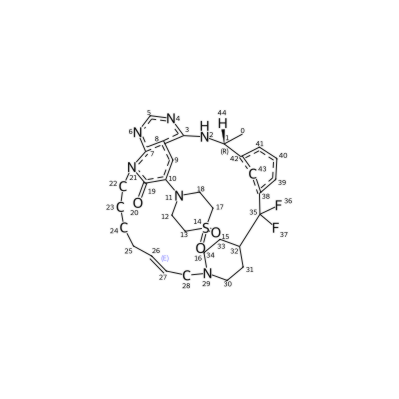 C[C@H]1Nc2ncnc3c2cc(N2CCS(=O)(=O)CC2)c(=O)n3CCCC/C=C/CN2CCC(CC2)C(F)(F)c2cccc1c2